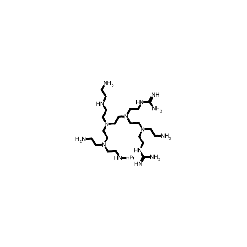 CCCNCCN(CCN)CCN(CCNCCN)CCN(CCNC(=N)N)CCN(CCN)CCNC(=N)N